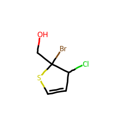 OCC1(Br)SC=CC1Cl